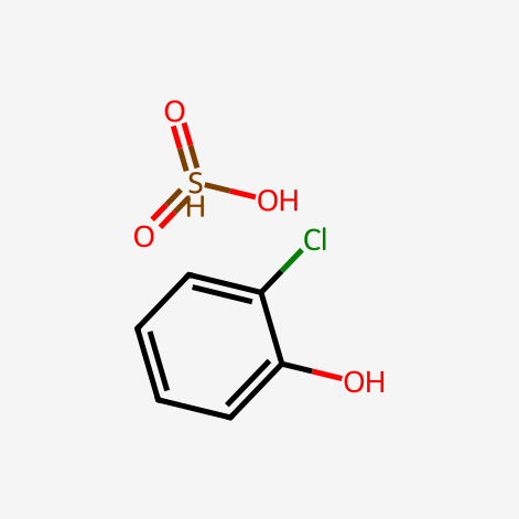 O=[SH](=O)O.Oc1ccccc1Cl